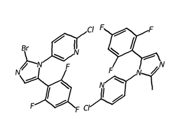 Cc1ncc(-c2c(F)cc(F)cc2F)n1-c1ccc(Cl)nc1.Fc1cc(F)c(-c2cnc(Br)n2-c2ccc(Cl)nc2)c(F)c1